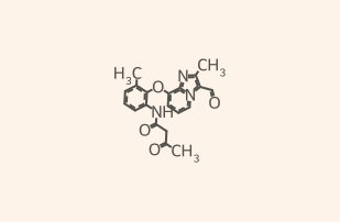 CC(=O)CC(=O)Nc1cccc(C)c1Oc1cccn2c(C=O)c(C)nc12